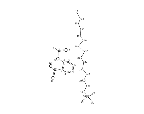 CC(=O)Oc1ccccc1C(=O)[O-].CCCCCCCCCCCCOCC[N+](C)(C)C